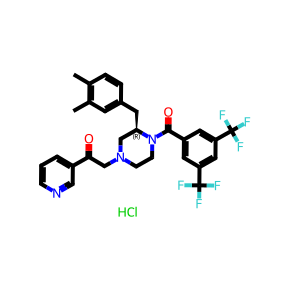 Cc1ccc(C[C@@H]2CN(CC(=O)c3cccnc3)CCN2C(=O)c2cc(C(F)(F)F)cc(C(F)(F)F)c2)cc1C.Cl